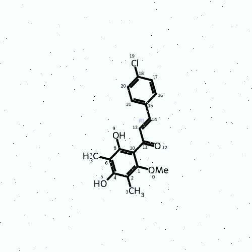 COc1c(C)c(O)c(C)c(O)c1C(=O)/C=C/c1ccc(Cl)cc1